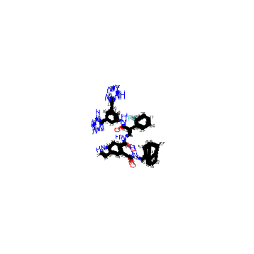 O=C(NCC(C(=O)Nc1cc(-c2nnn[nH]2)cc(-c2nnn[nH]2)c1)c1ccccc1F)c1cc2[nH]ccc2cc1C(=O)NCC12CC3CC(CC(C3)C1)C2